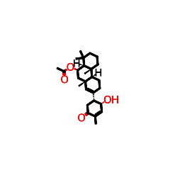 CC(=O)O[C@@H]1C[C@@]2(C)C=C([C@H]3CC(=O)C(C)=C[C@H]3O)CC[C@@H]2[C@@]2(C)CCCC(C)(C)[C@H]12